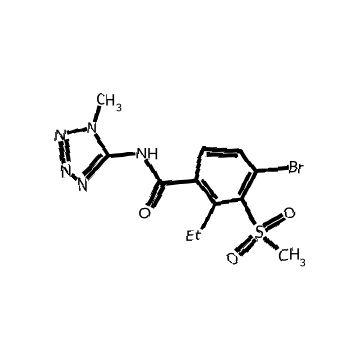 CCc1c(C(=O)Nc2nnnn2C)ccc(Br)c1S(C)(=O)=O